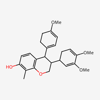 COC1=CC=C(C2c3ccc(O)c(C)c3OCC2C2C=C(OC)C(OC)=CC2)CC1